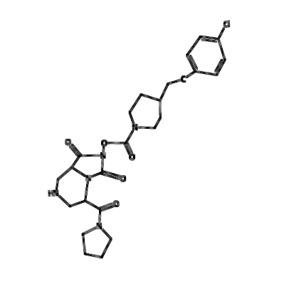 O=C(ON1C(=O)C2CNCC(C(=O)N3CCCC3)N2C1=O)N1CCC(CCc2ccc(Cl)cc2)CC1